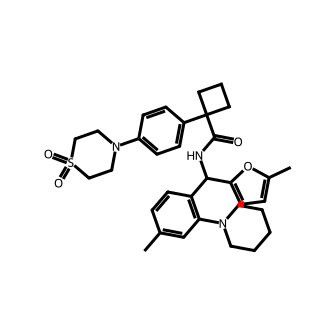 Cc1ccc(C(NC(=O)C2(c3ccc(N4CCS(=O)(=O)CC4)cc3)CCC2)c2ccc(C)o2)c(N2CCCCC2)c1